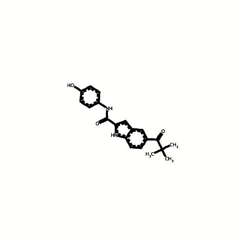 CC(C)(C)C(=O)c1ccc2[nH]c(C(=O)Nc3ccc(O)cc3)cc2c1